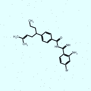 CCCC(CC=C(C)C)c1ccc(C(=O)NC(=N)c2ccc(Br)cc2N)cc1